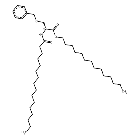 CCCCCCCCCCCCCCCC(=O)N[C@@H](COCc1ccccc1)C(=O)OCCCCCCCCCCCCCC